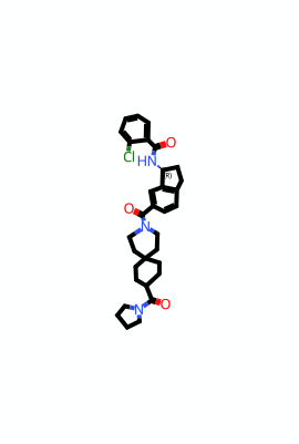 O=C(N[C@@H]1CCc2ccc(C(=O)N3CCC4(CCC(C(=O)N5CCCC5)CC4)CC3)cc21)c1ccccc1Cl